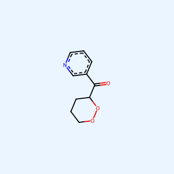 O=C(c1cccnc1)C1CCCOO1